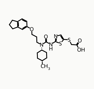 C[C@H]1CC[C@H](N(CCCOc2ccc3c(c2)CCC3)C(=O)Nc2ncc(SCC(=O)O)s2)CC1